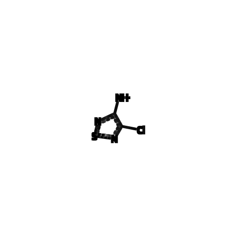 [NH]c1nsnc1Cl